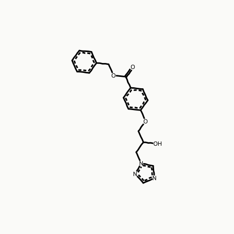 O=C(OCc1ccccc1)c1ccc(OCC(O)Cn2cncn2)cc1